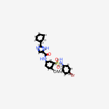 COc1ccc(NC(=O)c2cnc(-c3ccccc3)[nH]2)cc1S(=O)(=O)Nc1ccc(Br)cc1